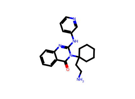 NCCC1(n2c(Nc3cccnc3)nc3ccccc3c2=O)CCCCC1